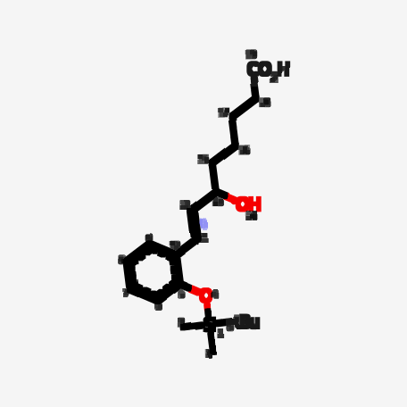 CC(C)(C)[Si](C)(C)Oc1ccccc1/C=C/C(O)CCCCC(=O)O